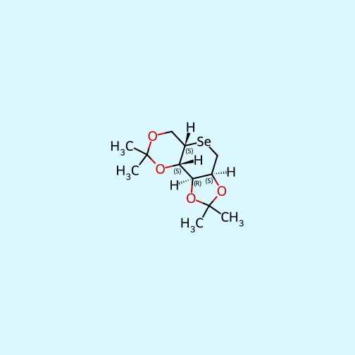 CC1(C)OC[C@@H]2[Se]C[C@H]3OC(C)(C)O[C@H]3[C@@H]2O1